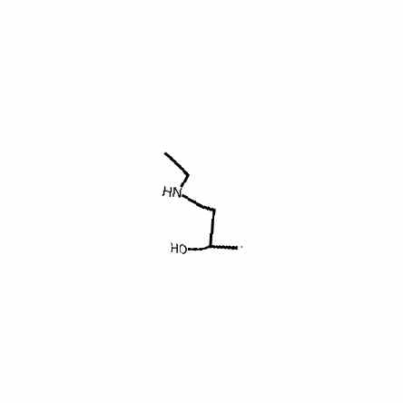 [CH2]C(O)CNCC